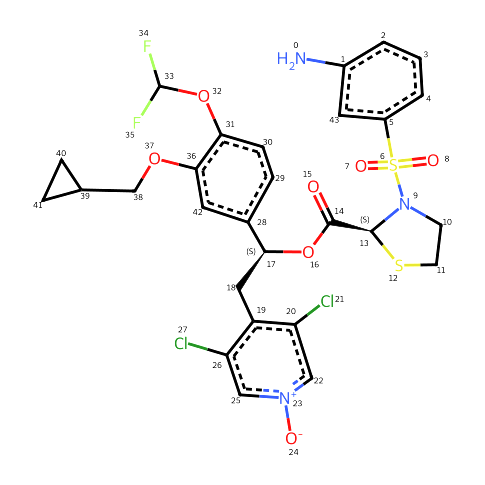 Nc1cccc(S(=O)(=O)N2CCS[C@H]2C(=O)O[C@@H](Cc2c(Cl)c[n+]([O-])cc2Cl)c2ccc(OC(F)F)c(OCC3CC3)c2)c1